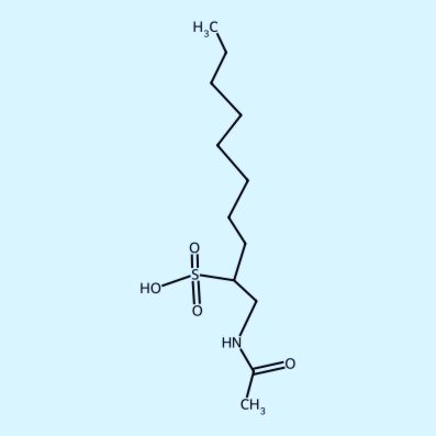 CCCCCCCCC(CNC(C)=O)S(=O)(=O)O